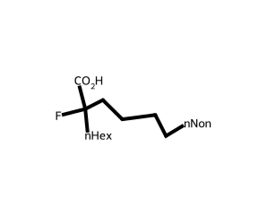 CCCCCCCCCCCCCC(F)(CCCCCC)C(=O)O